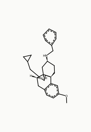 COc1ccc2c(c1)[C@@]13CC[C@H](NCc4ccccc4)C[C@@]1(O)[C@@H](C2)N(CC1CC1)CC3